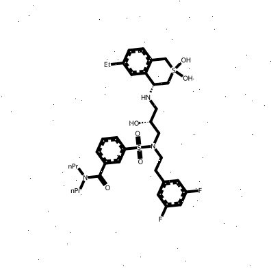 CCCN(CCC)C(=O)c1cccc(S(=O)(=O)N(CCc2cc(F)cc(F)c2)C[C@H](O)CN[C@H]2CS(O)(O)Cc3ccc(CC)cc32)c1